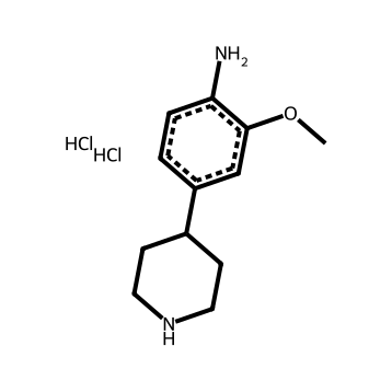 COc1cc(C2CCNCC2)ccc1N.Cl.Cl